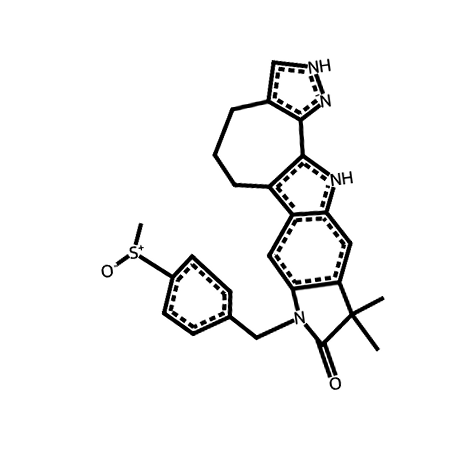 C[S+]([O-])c1ccc(CN2C(=O)C(C)(C)c3cc4[nH]c5c(c4cc32)CCCc2c[nH]nc2-5)cc1